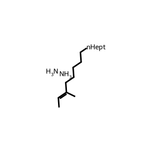 C/C=C(\C)CCCCCCCCCCCC.N.N